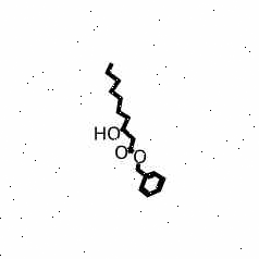 CCCCCCC[C@H](O)CC(=O)OCc1ccccc1